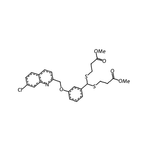 COC(=O)CCSC(SCCC(=O)OC)c1cccc(OCc2ccc3ccc(Cl)cc3n2)c1